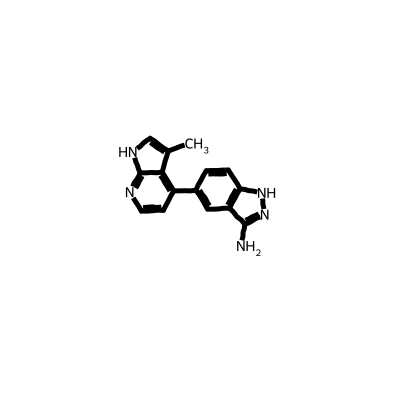 Cc1c[nH]c2nccc(-c3ccc4[nH]nc(N)c4c3)c12